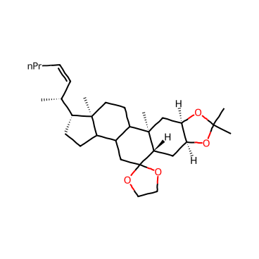 CCC/C=C\[C@@H](C)[C@H]1CCC2C3CC4(OCCO4)[C@H]4C[C@@H]5OC(C)(C)O[C@@H]5C[C@]4(C)C3CC[C@@]21C